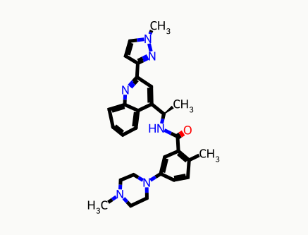 Cc1ccc(N2CCN(C)CC2)cc1C(=O)N[C@H](C)c1cc(-c2ccn(C)n2)nc2ccccc12